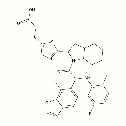 Cc1ccc(F)cc1NC(C(=O)N1C2CCCCC2C[C@H]1c1ncc(CCC(=O)O)s1)c1ccc2ncoc2c1F